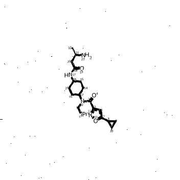 CC(C)CN(C(=O)c1cc(C2CC2)on1)C1CCC(NC(=O)C[C@@H](C)N)CC1